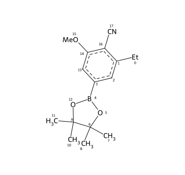 CCc1cc(B2OC(C)(C)C(C)(C)O2)cc(OC)c1C#N